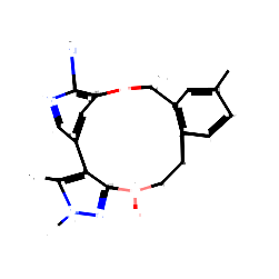 Cc1ccc2c(c1)[C@@H](C)Oc1cc(cnc1N)-c1c(nn(C)c1C#N)B(O)CC2